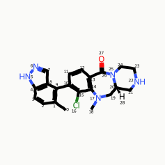 Cc1ccc2[nH]ncc2c1-c1ccc2c(c1Cl)N(C)C[C@H]1CNCCN1C2=O